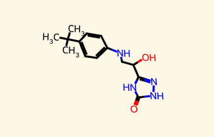 CC(C)(C)c1ccc(NCC(O)c2n[nH]c(=O)[nH]2)cc1